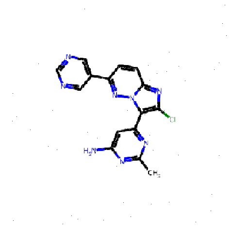 Cc1nc(N)cc(-c2c(Cl)nc3ccc(-c4cncnc4)nn23)n1